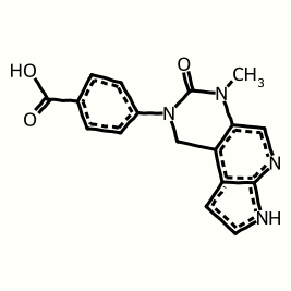 CN1C(=O)N(c2ccc(C(=O)O)cc2)Cc2c1cnc1[nH]ccc21